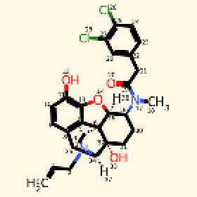 C=CCN1CC[C@]23c4c5ccc(O)c4O[C@H]2[C@@H](N(C)C(=O)Cc2ccc(Cl)c(Cl)c2)CC[C@@]3(O)[C@H]1C5